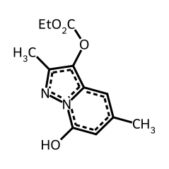 CCOC(=O)Oc1c(C)nn2c(O)cc(C)cc12